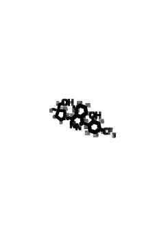 C[C@]1(CO)CCN(c2nnc(-c3ccc(C(F)(F)F)cc3O)c3cccnc23)C1